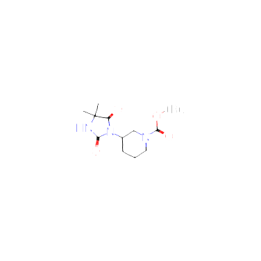 CC(C)(C)OC(=O)N1CCCC(N2C(=O)NC(C)(C)C2=O)C1